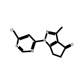 Cc1nn(-c2cc(Cl)ncn2)c2c1C(=O)CC2